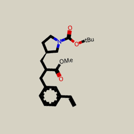 C=Cc1cccc(CC(C[C@H]2CCN(C(=O)OC(C)(C)C)C2)C(=O)OC)c1